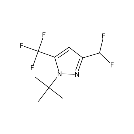 CC(C)(C)n1nc(C(F)F)cc1C(F)(F)F